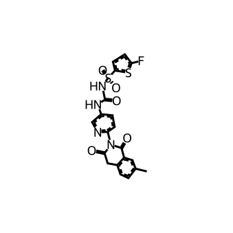 Cc1ccc2c(c1)C(=O)N(c1ccc(NC(=O)NS(=O)(=O)c3ccc(F)s3)cn1)C(=O)C2